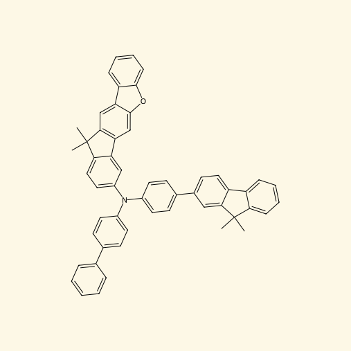 CC1(C)c2ccccc2-c2ccc(-c3ccc(N(c4ccc(-c5ccccc5)cc4)c4ccc5c(c4)-c4cc6oc7ccccc7c6cc4C5(C)C)cc3)cc21